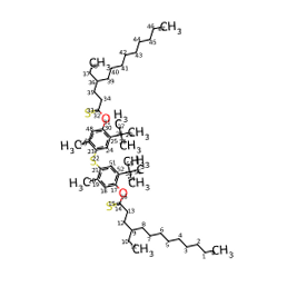 CCCCCCCCCC(CC)CCC(=S)Oc1cc(C)c(Sc2cc(C(C)(C)C)c(OC(=S)CCC(CC)CCCCCCCCC)cc2C)cc1C(C)(C)C